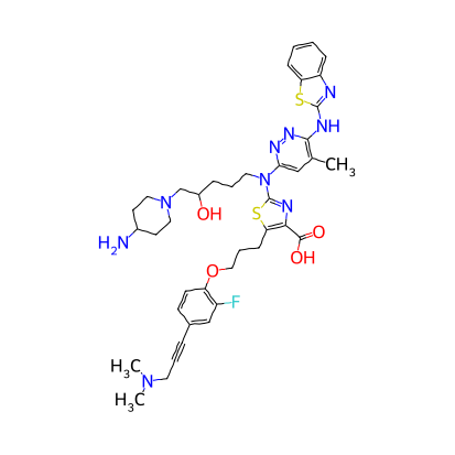 Cc1cc(N(CCCC(O)CN2CCC(N)CC2)c2nc(C(=O)O)c(CCCOc3ccc(C#CCN(C)C)cc3F)s2)nnc1Nc1nc2ccccc2s1